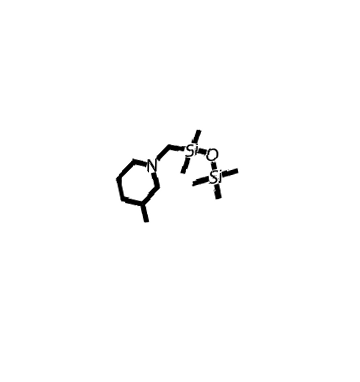 CC1CCCN(C[Si](C)(C)O[Si](C)(C)C)C1